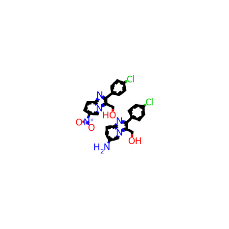 Nc1ccc2nc(-c3ccc(Cl)cc3)c(CO)n2c1.O=[N+]([O-])c1ccc2nc(-c3ccc(Cl)cc3)c(CO)n2c1